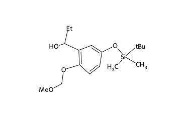 CCC(O)c1cc(O[Si](C)(C)C(C)(C)C)ccc1OCOC